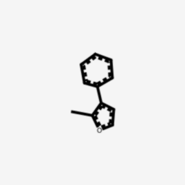 Cc1occc1-c1cc[c]cc1